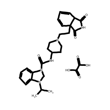 CC(C)N1CN(C(=O)NC2CCN(CCC34C=CC=CC3C(=O)NC4=O)CC2)c2ccccc21.O=C(O)C(=O)O